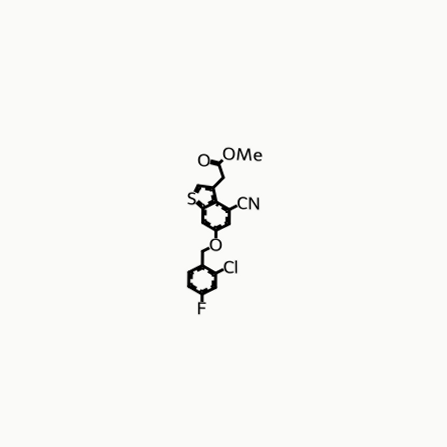 COC(=O)Cc1csc2cc(OCc3ccc(F)cc3Cl)cc(C#N)c12